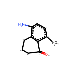 Nc1ccc([N+](=O)[O-])c2c1CCCC2=O